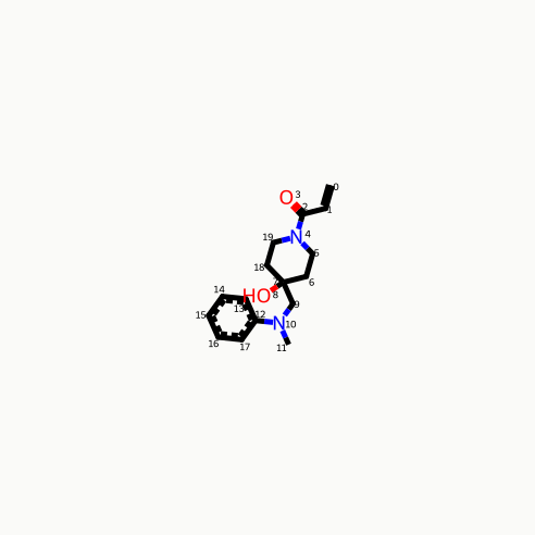 C=CC(=O)N1CCC(O)(CN(C)c2ccccc2)CC1